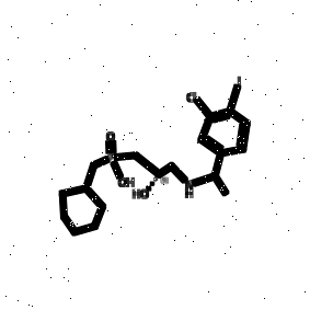 CC(NC[C@H](O)CP(=O)(O)CC1CCCCC1)c1ccc(I)c(Cl)c1